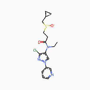 CCN(C(=O)CC[S+]([O-])CC1CC1)c1cn(-c2cccnc2)nc1Cl